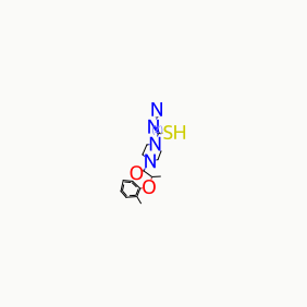 Cc1ccccc1OC(C)C(=O)N1CCN(/C(S)=N/C#N)CC1